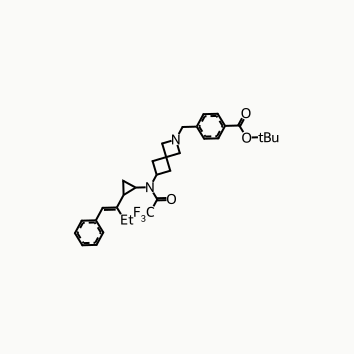 CC/C(=C\c1ccccc1)C1CC1N(C(=O)C(F)(F)F)C1CC2(C1)CN(Cc1ccc(C(=O)OC(C)(C)C)cc1)C2